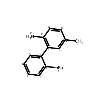 CCCCc1ccccc1-c1cc(C)ccc1N